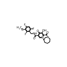 COc1c(F)cc(F)c(CNC(=O)c2cn3c(c(O)c2=O)C(=O)N2CCCCC3C2)c1F